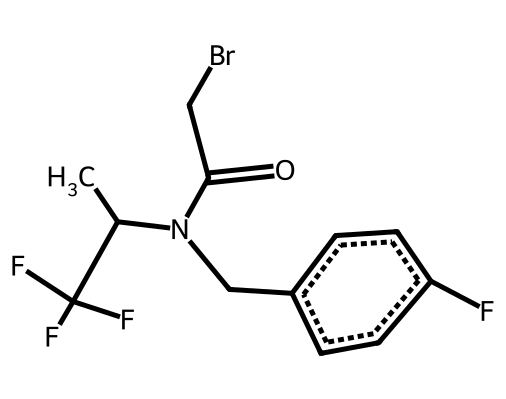 CC(N(Cc1ccc(F)cc1)C(=O)CBr)C(F)(F)F